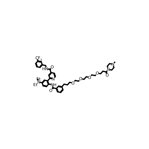 CCN(CC)c1ccc(NC(=O)c2cccc(CCCOCCOCCOCCOCCC(=O)N3CCN(C)CC3)c2)c(-c2cc(C(=O)NCc3cccc(C(F)(F)F)c3)ccn2)c1